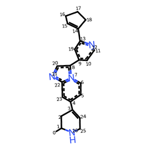 CC1CC(c2ccn3c(-c4ccnc(C5=CCCC5)c4)cnc3c2)=CCN1